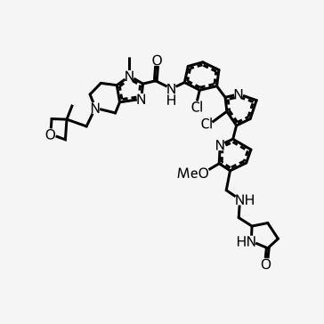 COc1nc(-c2ccnc(-c3cccc(NC(=O)c4nc5c(n4C)CCN(CC4(C)COC4)C5)c3Cl)c2Cl)ccc1CNCC1CCC(=O)N1